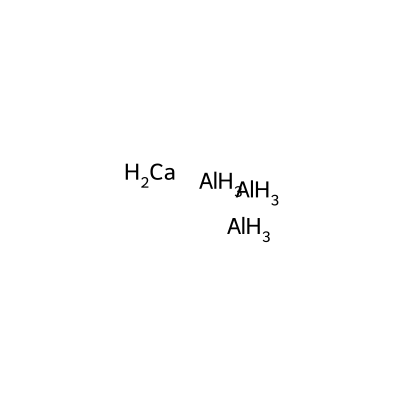 [AlH3].[AlH3].[AlH3].[CaH2]